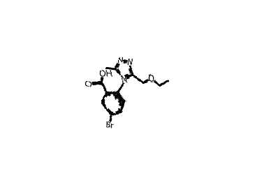 CCOCc1nnc(C)n1-c1ccc(Br)cc1C(=O)O